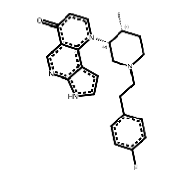 C[C@@H]1CCN(CCc2ccc(F)cc2)C[C@@H]1n1ccc(=O)c2cnc3[nH]ccc3c21